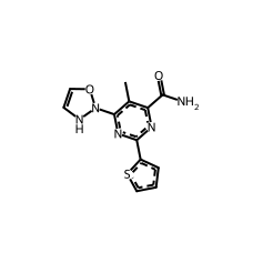 Cc1c(C(N)=O)nc(-c2cccs2)nc1N1NC=CO1